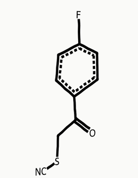 N#CSCC(=O)c1ccc(F)cc1